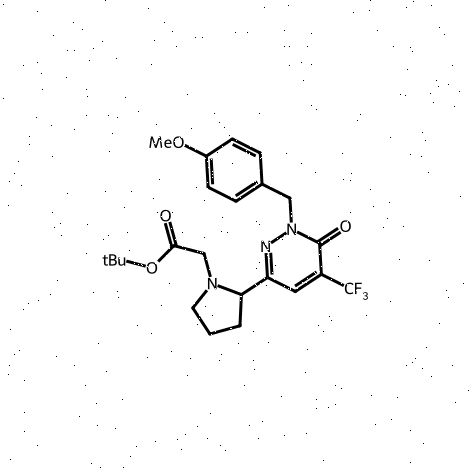 COc1ccc(Cn2nc(C3CCCN3CC(=O)OC(C)(C)C)cc(C(F)(F)F)c2=O)cc1